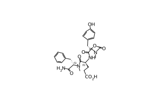 CN(C(=O)[C@H](CCC(=O)O)NC(=O)[C@@]1(Cc2ccc(O)cc2)OC(=O)N1C)[C@@H](Cc1ccccc1)C(N)=O